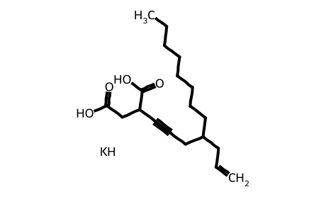 C=CCC(CC#CC(CC(=O)O)C(=O)O)CCCCCCCC.[KH]